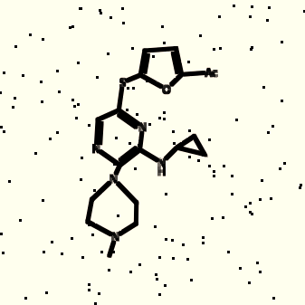 CC(=O)c1ccc(Sc2cnc(N3CCN(C)CC3)c(NC3CC3)n2)o1